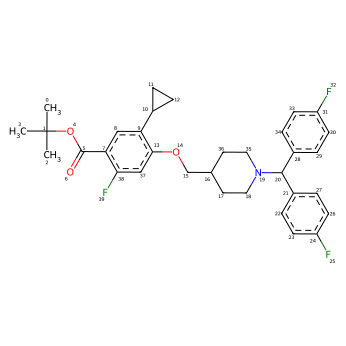 CC(C)(C)OC(=O)c1cc(C2CC2)c(OCC2CCN(C(c3ccc(F)cc3)c3ccc(F)cc3)CC2)cc1F